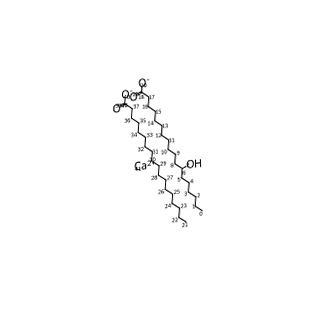 CCCCCCC(O)CCCCCCCCCCC(=O)[O-].CCCCCCCCCCCCCCCCCC(=O)[O-].[Ca+2]